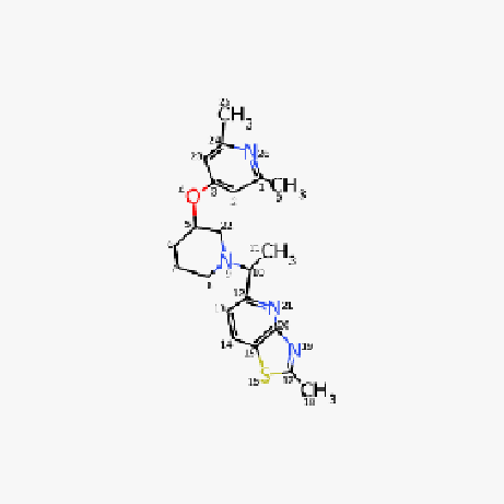 Cc1cc(OC2CCCN(C(C)c3ccc4sc(C)nc4n3)C2)cc(C)n1